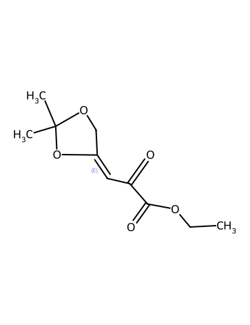 CCOC(=O)C(=O)/C=C1\COC(C)(C)O1